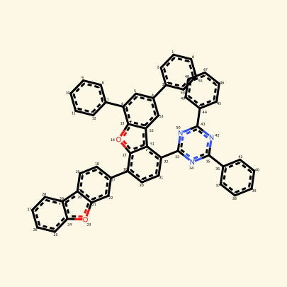 c1ccc(-c2cc(-c3ccccc3)c3oc4c(-c5ccc6c(c5)oc5ccccc56)ccc(-c5nc(-c6ccccc6)nc(-c6ccccc6)n5)c4c3c2)cc1